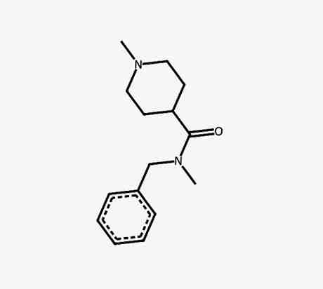 CN1CCC(C(=O)N(C)Cc2ccccc2)CC1